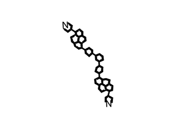 c1cc(-c2ccc(-c3ccc4ccc5c(-c6ccncc6)ccc6ccc3c4c65)cc2)cc(-c2ccc(-c3ccc4ccc5c(-c6ccncc6)ccc6ccc3c4c65)cc2)c1